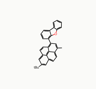 Cc1cc(-c2cccc3c2oc2ccccc23)c2ccc3cc(C(C)(C)C)cc4ccc1c2c43